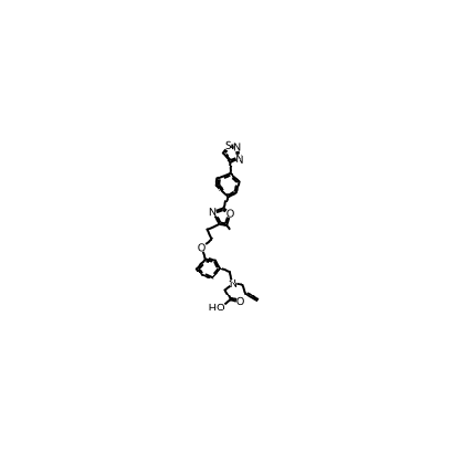 C=CCN(CC(=O)O)Cc1cccc(OCCc2nc(-c3ccc(-c4csnn4)cc3)oc2C)c1